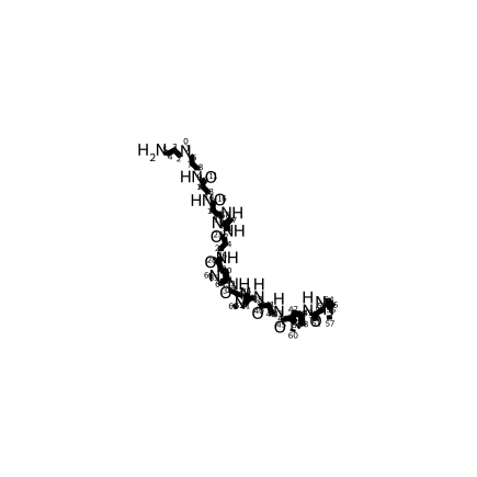 CN(CCCN)CCCNC(=O)CCNC(=O)Cc1nc(NC(=O)CCNC(=O)c2cc(NC(=O)c3nc(NC(=O)CCNC(=O)c4cc(NC(=O)c5nccn5C)cn4C)cn3C)cn2C)c[nH]1